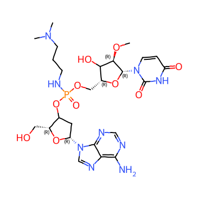 CO[C@@H]1C(O)[C@@H](COP(=O)(NCCCN(C)C)OC2C[C@H](n3cnc4c(N)ncnc43)O[C@@H]2CO)O[C@H]1n1ccc(=O)[nH]c1=O